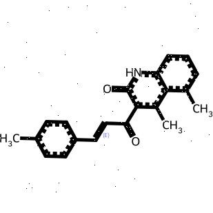 Cc1ccc(/C=C/C(=O)c2c(C)c3c(C)cccc3[nH]c2=O)cc1